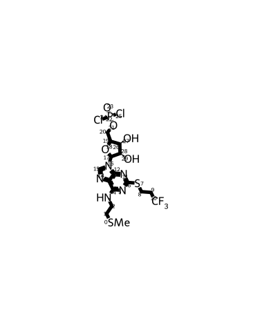 CSCCNc1nc(SCCC(F)(F)F)nc2c1ncn2C1OC(COP(=O)(Cl)Cl)[C@H](O)[C@@H]1O